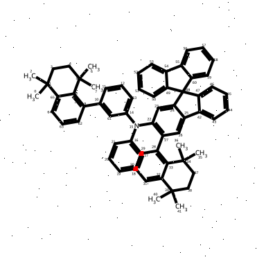 CC1(C)CCC(C)(C)c2c(-c3cccc(N(c4ccccc4)c4cc5c(cc4-c4cccc6c4C(C)(C)CCC6(C)C)-c4ccccc4C54c5ccccc5-c5ccccc54)c3)cccc21